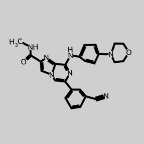 CNC(=O)c1cn2cc(-c3cccc(C#N)c3)nc(Nc3ccc(N4CCOCC4)cc3)c2n1